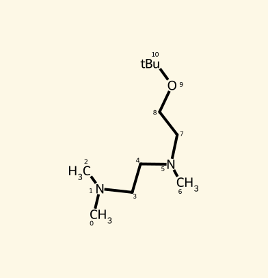 CN(C)CCN(C)CCOC(C)(C)C